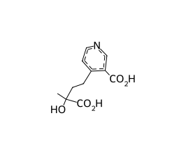 CC(O)(CCc1ccncc1C(=O)O)C(=O)O